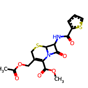 COC(=O)C1=C(COC(C)=O)CSC2C(NC(=O)c3cccs3)C(=O)N12